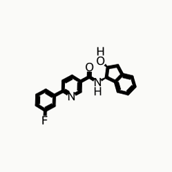 O=C(N[C@@H]1c2ccccc2C[C@@H]1O)c1ccc(-c2cccc(F)c2)nc1